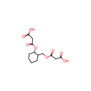 O=C(O)CC(=O)OCC1CCCCC1OC(=O)CC(=O)O